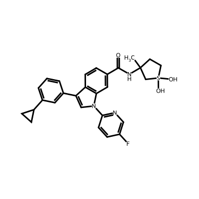 CC1(NC(=O)c2ccc3c(-c4cccc(C5CC5)c4)cn(-c4ccc(F)cn4)c3c2)CCS(O)(O)C1